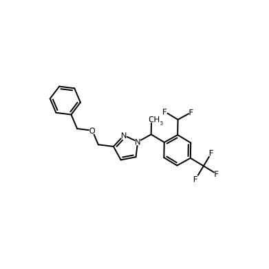 CC(c1ccc(C(F)(F)F)cc1C(F)F)n1ccc(COCc2ccccc2)n1